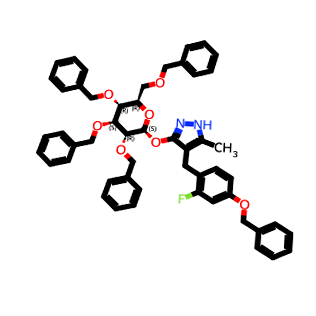 Cc1[nH]nc(O[C@@H]2O[C@H](COCc3ccccc3)[C@@H](OCc3ccccc3)[C@H](OCc3ccccc3)[C@H]2OCc2ccccc2)c1Cc1ccc(OCc2ccccc2)cc1F